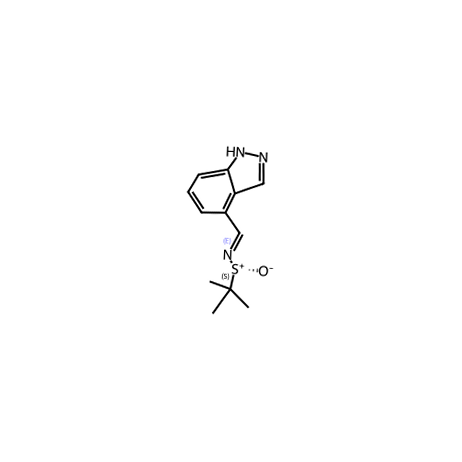 CC(C)(C)[S@@+]([O-])/N=C/c1cccc2[nH]ncc12